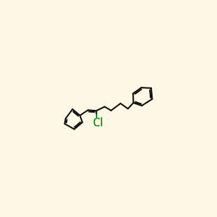 ClC(=Cc1ccccc1)CCCCc1ccccc1